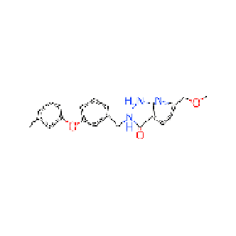 COCc1ccc(C(=O)NCc2cccc(Oc3cccc(C)c3)c2)c(N)n1